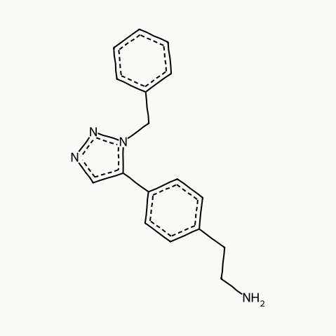 NCCc1ccc(-c2cnnn2Cc2ccccc2)cc1